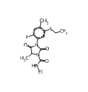 CCNC(=O)N1C(=O)N(c2cc(SCC(F)(F)F)c(C)cc2F)C(=O)C1C